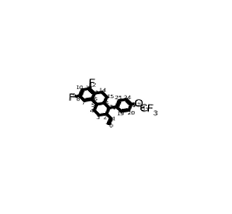 C=CC1CCC2c3cc(F)cc(F)c3CCC2C1c1ccc(OC(F)(F)F)cc1